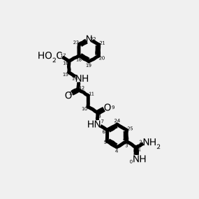 N=C(N)c1ccc(NC(=O)CCC(=O)NCC(C(=O)O)c2cccnc2)cc1